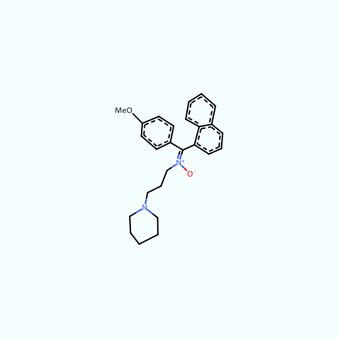 COc1ccc(/C(c2cccc3ccccc23)=[N+](/[O-])CCCN2CCCCC2)cc1